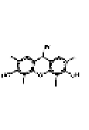 Cc1c(O)c(I)cc2c1Oc1c(cc(I)c(O)c1I)C2C(C)C